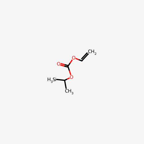 C=COC(=O)OC(C)[SiH3]